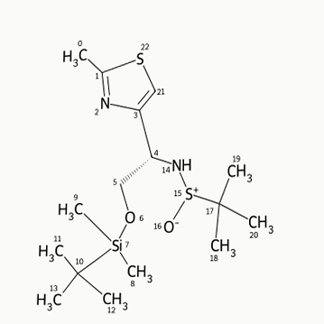 Cc1nc([C@@H](CO[Si](C)(C)C(C)(C)C)N[S+]([O-])C(C)(C)C)cs1